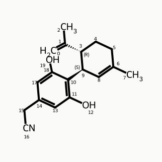 C=C(C)[C@@H]1CCC(C)=C[C@H]1c1c(O)cc(CC#N)cc1O